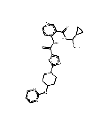 CC(NC(=O)c1cnccc1NC(=O)c1coc(N2CCC(Oc3ncccn3)CC2)n1)C1CC1